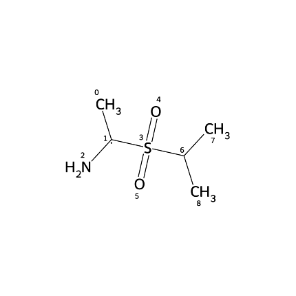 C[C](N)S(=O)(=O)C(C)C